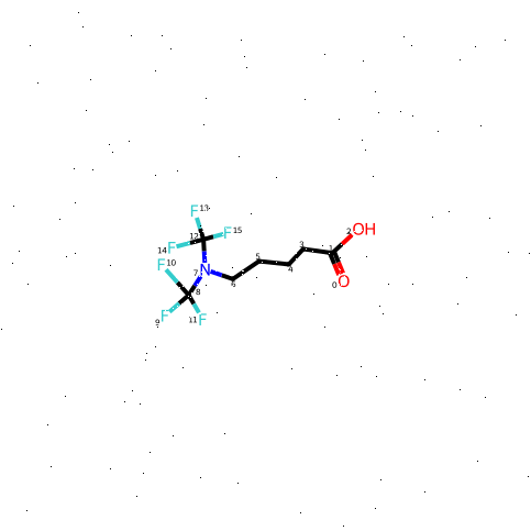 O=C(O)CCCCN(C(F)(F)F)C(F)(F)F